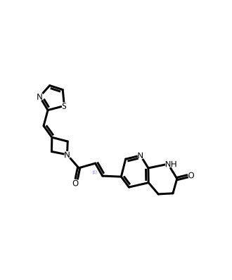 O=C1CCc2cc(/C=C/C(=O)N3CC(=Cc4nccs4)C3)cnc2N1